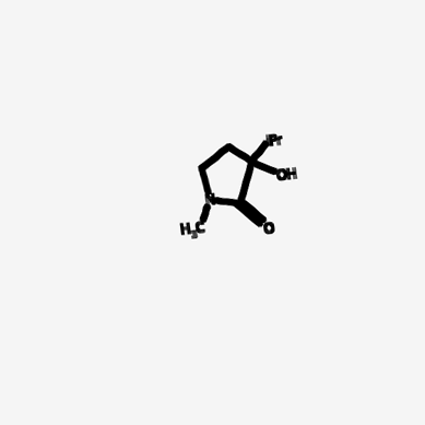 CC(C)C1(O)CCN(C)C1=O